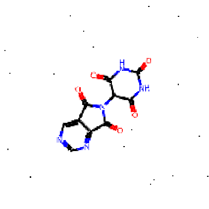 O=C1NC(=O)C(N2C(=O)c3cncnc3C2=O)C(=O)N1